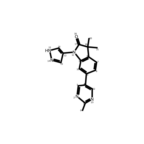 Cc1ncc(-c2ccc3c(c2)N(c2cn[nH]c2)C(=O)C3(C)C)cn1